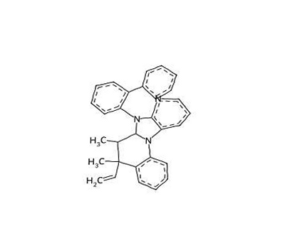 C=CC1(C)c2ccccc2N2c3cccnc3N(c3ccccc3-c3ccccc3)C2C1C